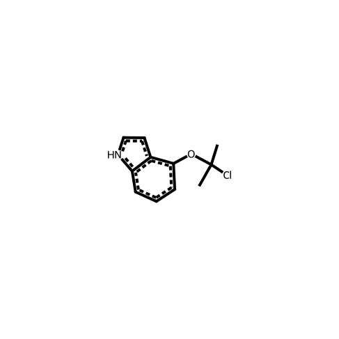 CC(C)(Cl)Oc1cccc2[nH]ccc12